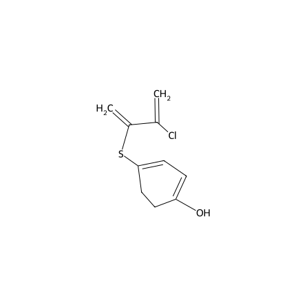 C=C(Cl)C(=C)SC1=CC=C(O)CC1